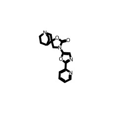 O=C1OC2(CN3CCC2CC3)CN1c1cnc(-c2ccccn2)o1